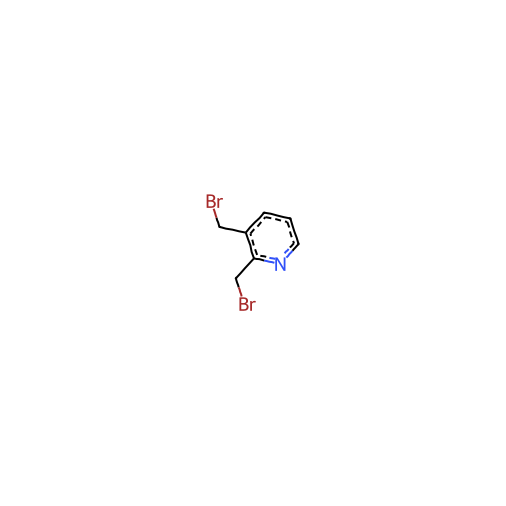 BrCc1cccnc1CBr